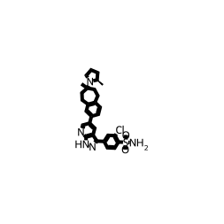 C[C@@H]1CCCN1C1(C)CCc2ccc(-c3cnc4[nH]nc(-c5ccc(S(N)(=O)=O)c(Cl)c5)c4c3)cc2CC1